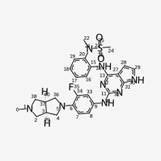 CN1C[C@@H]2CN(c3ccc(Nc4nc(Nc5ccccc5N(C)S(C)(=O)=O)c5cc[nH]c5n4)cc3F)C[C@@H]2C1